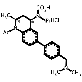 CC(=O)N1c2ccc(-c3ccc(CN(C)C)cc3)cc2[C@H](N(C(=O)O)C(C)C)C[C@@H]1C.Cl